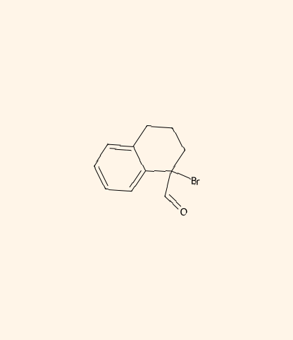 O=CC1(Br)CCCc2ccccc21